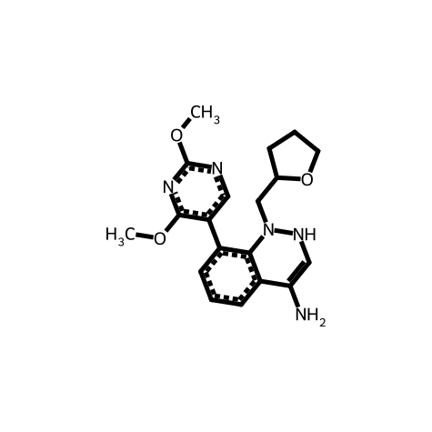 COc1ncc(-c2cccc3c2N(CC2CCCO2)NC=C3N)c(OC)n1